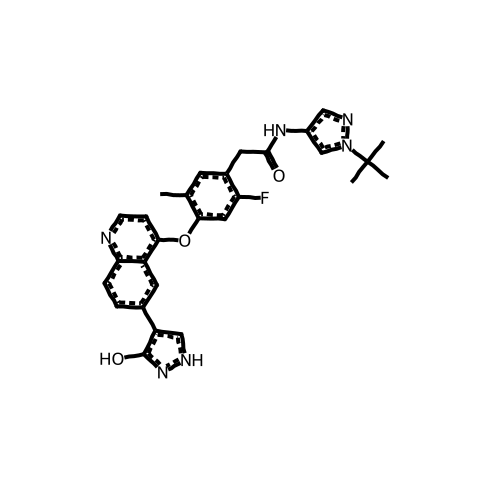 Cc1cc(CC(=O)Nc2cnn(C(C)(C)C)c2)c(F)cc1Oc1ccnc2ccc(-c3c[nH]nc3O)cc12